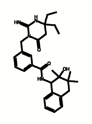 CCC1(CC)CC(=O)N(Cc2cccc(C(=O)NC3c4ccccc4CC(C)(C)C3(C)O)c2)C(=N)N1